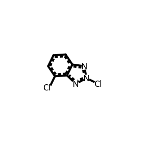 Clc1cccc2nn(Cl)nc12